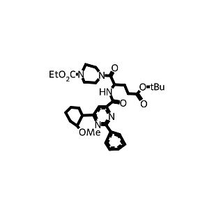 CCOC(=O)N1CCN(C(=O)C(CCC(=O)OC(C)(C)C)NC(=O)c2cc(C3CCCCC3OC)nc(-c3ccccc3)n2)CC1